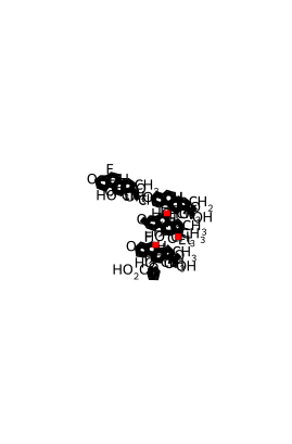 C=C1C[C@H]2[C@@H]3CCC4=CC(=O)C=C[C@]4(C)[C@H]3[C@@H](O)C[C@]2(C)[C@@]1(O)C(=O)CO.CCC(=O)[C@@]1(C)[C@H](C)C[C@H]2[C@@H]3CCC4=CC(=O)C=C[C@]4(C)[C@H]3[C@@H](O)C[C@@]21C.C[C@@H]1C[C@H]2[C@@H]3C[C@H](F)C4=CC(=O)C=C[C@]4(C)[C@H]3[C@@H](O)C[C@]2(C)[C@@]1(O)C(=O)CO.C[C@H]1C[C@H]2[C@@H]3C[C@H](F)C4=CC(=O)C=C[C@]4(C)[C@@]3(F)[C@@H](O)C[C@]2(C)[C@@]1(O)C(=O)CCl.O=C(O)c1ccco1